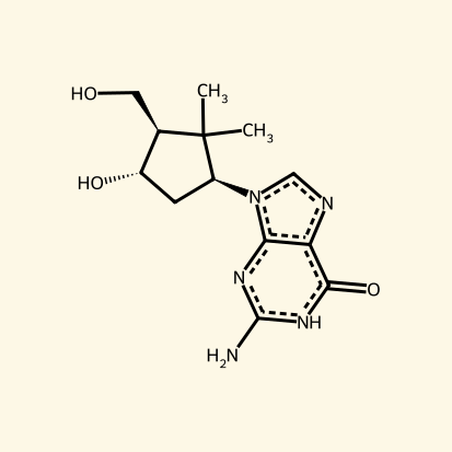 CC1(C)[C@H](CO)[C@@H](O)C[C@@H]1n1cnc2c(=O)[nH]c(N)nc21